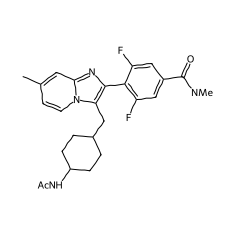 CNC(=O)c1cc(F)c(-c2nc3cc(C)ccn3c2CC2CCC(NC(C)=O)CC2)c(F)c1